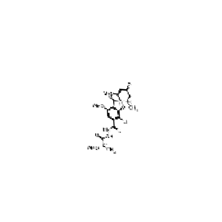 COC1=CC(=O)C[C@@H](C)[C@]12Oc1c(Cl)c(C(=O)NNC(=O)[C@H](C)OC)cc(OC)c1C2=O